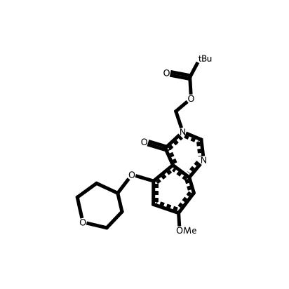 COc1cc(OC2CCOCC2)c2c(=O)n(COC(=O)C(C)(C)C)cnc2c1